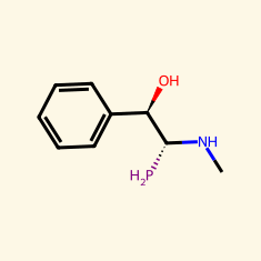 CN[C@H](P)[C@H](O)c1ccccc1